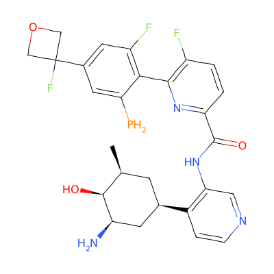 C[C@H]1C[C@@H](c2ccncc2NC(=O)c2ccc(F)c(-c3c(F)cc(C4(F)COC4)cc3P)n2)C[C@@H](N)[C@H]1O